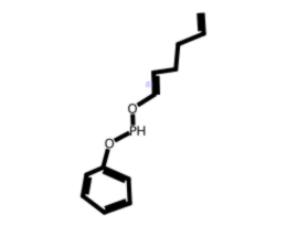 C=CCC/C=C/OPOc1ccccc1